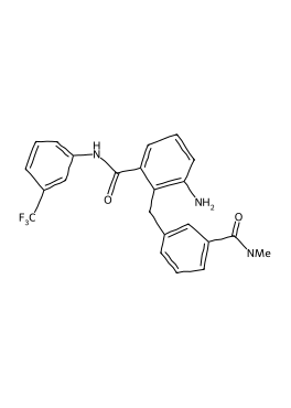 CNC(=O)c1cccc(Cc2c(N)cccc2C(=O)Nc2cccc(C(F)(F)F)c2)c1